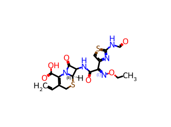 C=CC1=C(C(=O)O)N2C(=O)C(NC(=O)/C(=N/OCC)c3csc(NC=O)n3)[C@H]2SC1